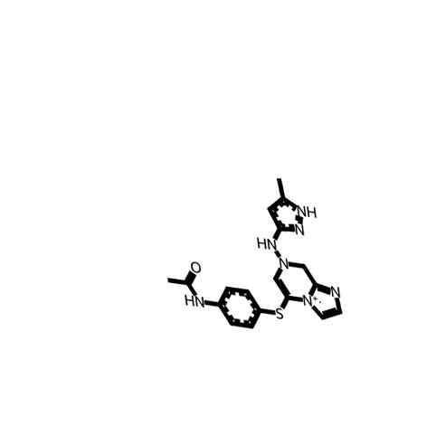 CC(=O)Nc1ccc(SC2=CN(Nc3cc(C)[nH]n3)CC3=NC=C[N+]23)cc1